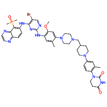 COc1cc(N2CCN(CC3CCN(c4ccc(N5CCC(=O)NC5=O)c(C)c4)CC3)CC2)c(C)cc1Nc1ncc(Br)c(Nc2ccc3nccnc3c2P(C)(C)=O)n1